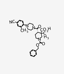 Cc1cc(C#N)ccc1N1CCN(C(=O)[C@H]2CCN(C(=O)OCc3ccccc3)C[C@]2(C)C(=O)O)CC1